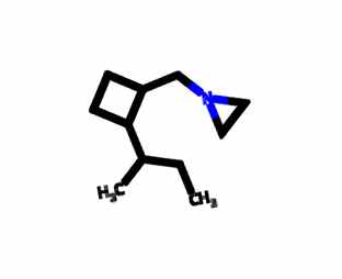 CCC(C)C1CCC1CN1CC1